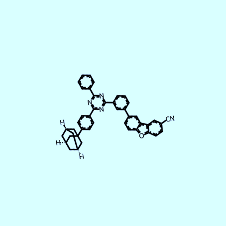 N#Cc1ccc2oc3ccc(-c4cccc(-c5nc(-c6ccccc6)nc(-c6ccc(C78C[C@H]9C[C@H](C7)C[C@@H](C8)C9)cc6)n5)c4)cc3c2c1